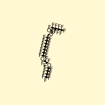 O=S(=O)(OCC(F)(F)C(F)(F)C(F)(F)C(F)(F)C(F)(F)C(F)(F)C(F)(F)OC(F)(F)C(F)(F)OC(F)(F)C(F)(F)C(F)(F)C(F)(F)F)C(F)(F)C(F)(F)C(F)(F)C(F)(F)F